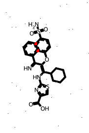 N=C(/C(Oc1ccc(S(N)(=O)=O)cc1)=C(\Nc1nc(C(=O)O)cs1)C1CCCCC1)c1ccccc1